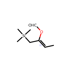 C/C=C(/C[Si](C)(C)C)O[C]=O